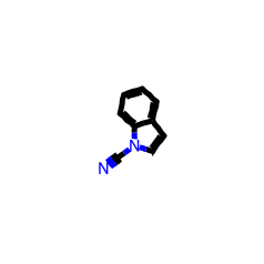 N#Cn1[c]cc2ccccc21